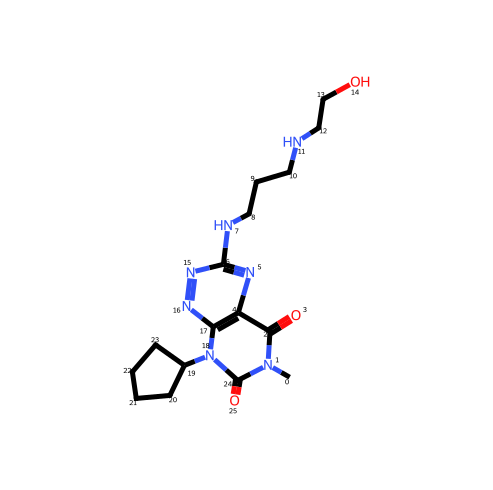 Cn1c(=O)c2nc(NCCCNCCO)nnc2n(C2CCCC2)c1=O